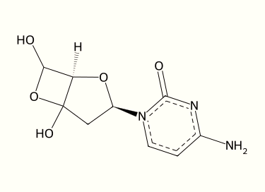 Nc1ccn([C@H]2CC3(O)OC(O)[C@H]3O2)c(=O)n1